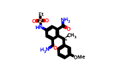 CCS(=O)(=O)Nc1cc(C(N)=O)c([C@H](C)c2cccc(OC)c2)c(C(N)=O)c1